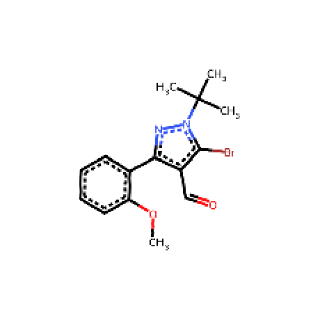 COc1ccccc1-c1nn(C(C)(C)C)c(Br)c1C=O